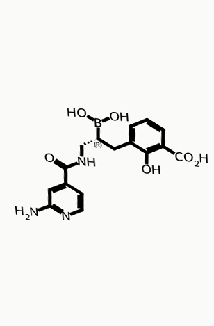 Nc1cc(C(=O)NC[C@@H](Cc2cccc(C(=O)O)c2O)B(O)O)ccn1